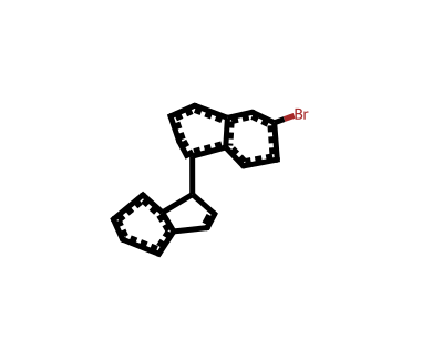 Brc1ccc2c(C3C=Cc4ccccc43)cccc2c1